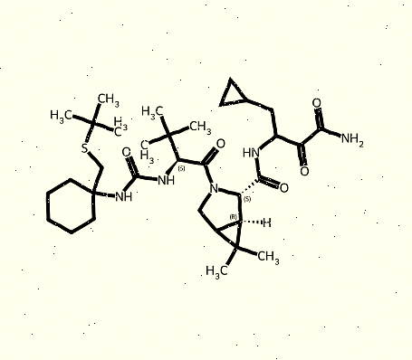 CC(C)(C)SCC1(NC(=O)N[C@H](C(=O)N2CC3[C@@H]([C@H]2C(=O)NC(CC2CC2)C(=O)C(N)=O)C3(C)C)C(C)(C)C)CCCCC1